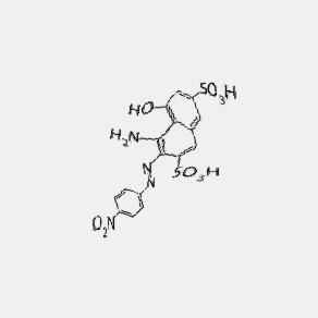 Nc1c(N=Nc2ccc([N+](=O)[O-])cc2)c(S(=O)(=O)O)cc2cc(S(=O)(=O)O)cc(O)c12